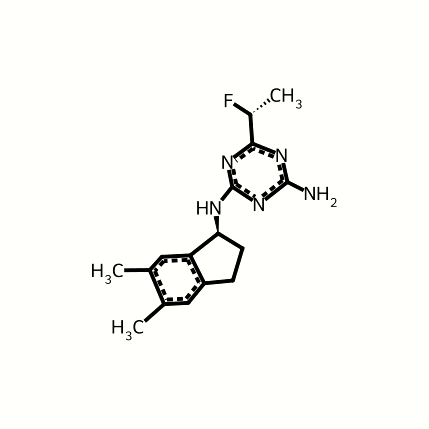 Cc1cc2c(cc1C)[C@@H](Nc1nc(N)nc([C@@H](C)F)n1)CC2